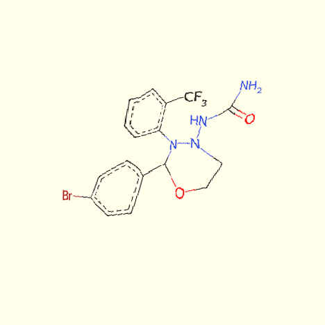 NC(=O)NN1CCOC(c2ccc(Br)cc2)N1c1ccccc1C(F)(F)F